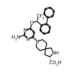 Nc1nc(O[C@H](c2ccccc2-c2ccccc2)C(F)(F)F)cc(N2CCC3(CC2)CN[C@H](C(=O)O)C3)n1